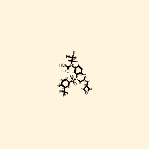 CC(C)(N(C(=O)O)c1ccc2c(c1)N(S(=O)(=O)c1ccc(F)c(C(F)(F)F)c1)C[C@H](CC1COC1)O2)C(F)(F)F